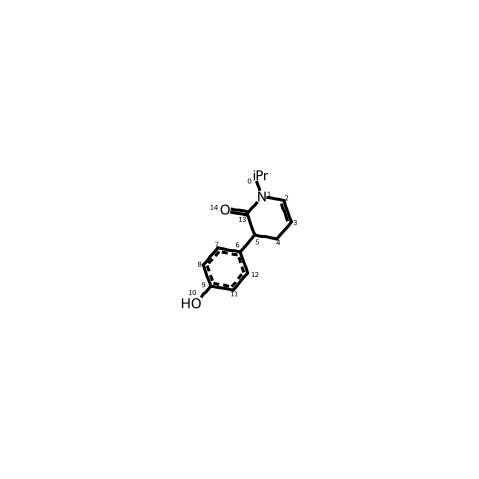 CC(C)N1C=CCC(c2ccc(O)cc2)C1=O